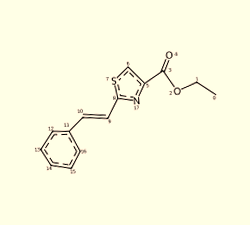 CCOC(=O)c1csc(C=Cc2ccccc2)n1